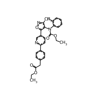 CCOC(=O)Cc1ccc(-c2ccc(-c3onc(C)c3N(C(=O)OCC)c3ccccc3F)cn2)cc1